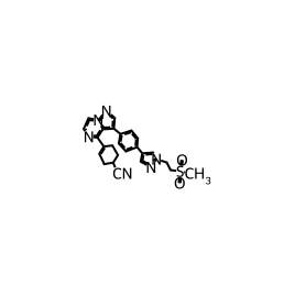 CS(=O)(=O)CCn1cc(-c2ccc(-c3cnn4ccnc(C5=CCC(C#N)CC5)c34)cc2)cn1